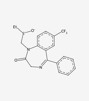 CC[S+]([O-])CN1C(=O)CN=C(c2ccccc2)c2cc(C(F)(F)F)ccc21